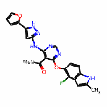 CNC(=O)c1c(Nc2cc(-c3ccco3)[nH]n2)ncnc1Oc1ccc2[nH]c(C)cc2c1F